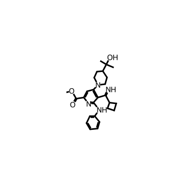 COC(=O)c1cc(N2CCC(C(C)(C)O)CC2)c(C(=N)C2CCC2)c(Nc2ccccc2)n1